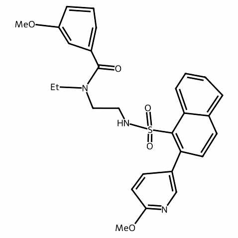 CCN(CCNS(=O)(=O)c1c(-c2ccc(OC)nc2)ccc2ccccc12)C(=O)c1cccc(OC)c1